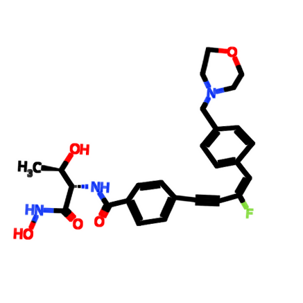 C[C@@H](O)[C@H](NC(=O)c1ccc(C#C/C(F)=C\c2ccc(CN3CCOCC3)cc2)cc1)C(=O)NO